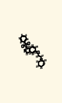 O=S(=O)(c1ccccc1)n1ncc2cc(OCCN3CCCCC3)ccc21